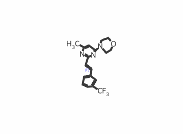 Cc1cc(N2CCOCC2)nc(/C=C/c2cccc(C(F)(F)F)c2)n1